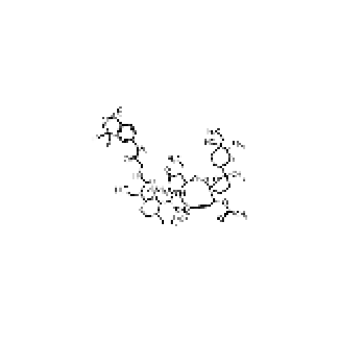 CC[C@@H](C(=O)[C@@H](C)[C@@H](O)[C@H](C)[C@@H]1O[C@@H]([C@@H](CC)C(=O)NCC(=O)Nc2ccc([N+](=O)[O-])c(C(F)(F)F)c2)CC[C@@H]1C)[C@H]1OO[C@@]2(CC[C@@](C)([C@H]3CC[C@](O)(CC)[C@H](C)O3)O2)[C@H](OC(C)=O)/C=C\[C@H](C)C[C@@H]1C